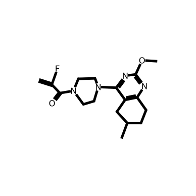 C=C(F)C(=O)N1CCN(c2nc(OC)nc3c2CC(C)CC3)CC1